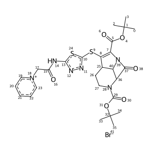 CC(C)(C)OC(=O)C1=C(Sc2nnc(NC(=O)C[n+]3ccccc3)s2)C2CCN(C(=O)OC(C)(C)C)C3C(=O)N1C23.[Br-]